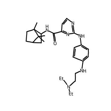 CCN(CC)CCNc1ccc(Nc2nccc(C(=O)NC3CC4CCC3(C)C4(C)C)n2)cc1